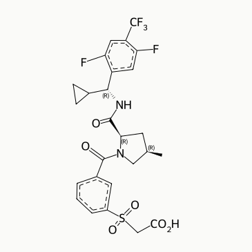 C[C@@H]1C[C@H](C(=O)N[C@@H](c2cc(F)c(C(F)(F)F)cc2F)C2CC2)N(C(=O)c2cccc(S(=O)(=O)CC(=O)O)c2)C1